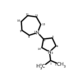 CC(C)N1CCC(N2CCCCCC2)C1